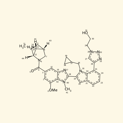 COc1cc(C(=O)N2C[C@H]3C[C@@H](C)[C@@H]2[C@@H]3N)cc2nc(-c3cc4cccc(-c5cn(CCO)nn5)c4n3CC3CC3)n(C)c12